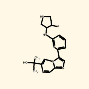 CC(C)(O)c1cn2c(-c3cccc(NC4CNCC4F)n3)cnc2cn1